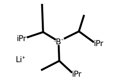 CC(C)C(C)[B-](C(C)C(C)C)C(C)C(C)C.[Li+]